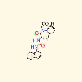 O=C(O)CN1C(=O)C(NC(=O)Nc2cccc3ccccc23)CC=C2CC=CC=C21